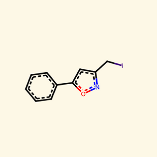 ICc1cc(-c2ccccc2)on1